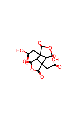 O=C(O)CC12C(=O)OC(=O)C1C1(CC(=O)O)C(=O)OC(=O)C21